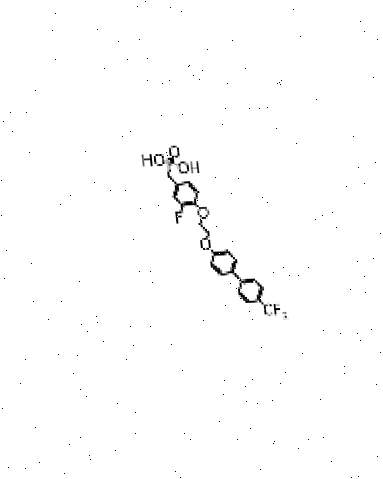 O=P(O)(O)Cc1ccc(OCCOc2ccc(-c3ccc(C(F)(F)F)cc3)cc2)c(F)c1